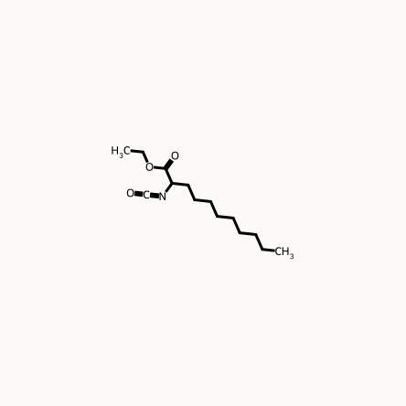 CCCCCCCCCC(N=C=O)C(=O)OCC